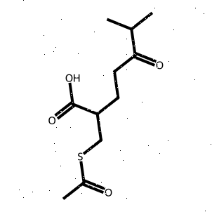 CC(=O)SCC(CCC(=O)C(C)C)C(=O)O